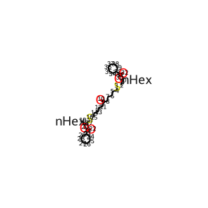 CCCCCCC(CSCCCCCC(=O)CCCCCSCC(CCCCCC)OC(=O)C1CCCCCC1)OC(=O)C1CCCCCC1